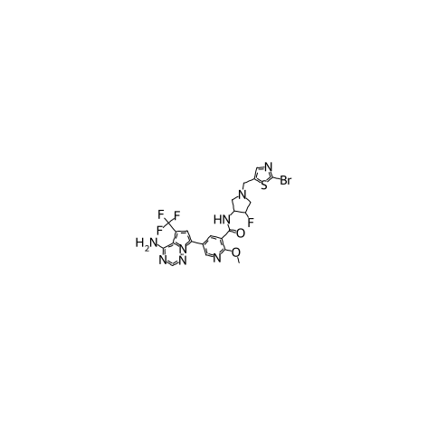 COc1ncc(-c2cc(C(F)(F)F)c3c(N)ncnn23)cc1C(=O)NC1CN(Cc2cnc(Br)s2)CC1F